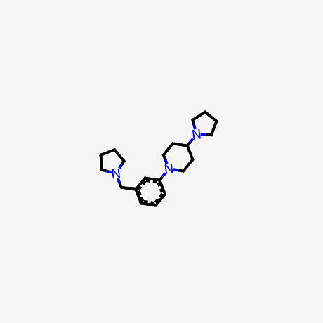 c1cc(CN2CCCC2)cc(N2CCC(N3CCCC3)CC2)c1